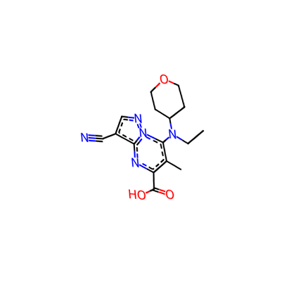 CCN(c1c(C)c(C(=O)O)nc2c(C#N)cnn12)C1CCOCC1